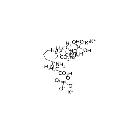 CC(=O)O.CC(=O)O.CC(=O)O.CC(=O)O.NC1(N)CCCCC1.O=P(O)(O)O.O=P([O-])([O-])[O-].[K+].[K+].[K+]